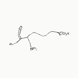 CC(C)C(=O)C(N)CCCC(=O)O